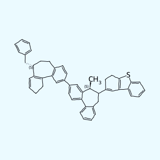 C[C@@H]1c2cc(-c3ccc4c(c3)C3=C(C=CCC3)[C@H](Cc3ccccc3)CC4)ccc2-c2ccccc2CC1C1=Cc2c(sc3ccccc23)CC1